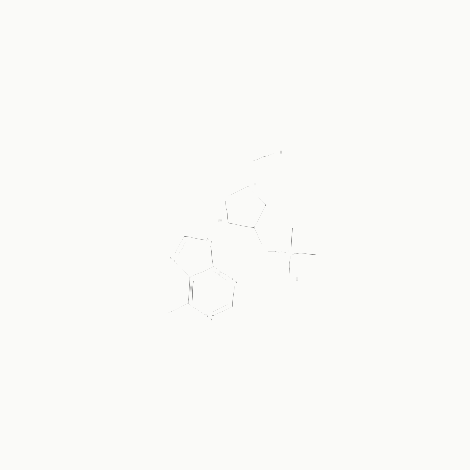 CC(C)(C)[Si](C)(C)OC1C[C@@H](CO)O[C@H]1n1cnc2c(O)ncnc21